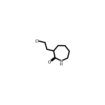 O=C1NCCCCC1CCCl